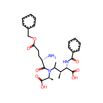 CC([C@H](C)[C@H](NC(=O)c1ccccc1)C(=O)O)N(C(=O)[C@@H](N)CCC(=O)OCc1ccccc1)[C@@H](C)C(=O)O